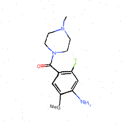 COc1cc(C(=O)N2CCN(C)CC2)c(F)cc1N